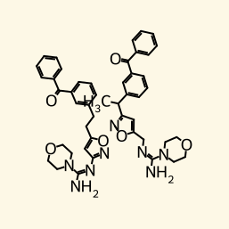 CC(c1cccc(C(=O)c2ccccc2)c1)c1cc(CN=C(N)N2CCOCC2)on1.NC(=Nc1cc(CCc2cccc(C(=O)c3ccccc3)c2)on1)N1CCOCC1